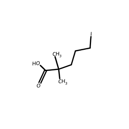 CC(C)(CCCI)C(=O)O